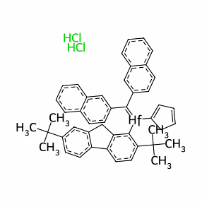 CC(C)(C)c1ccc2c(c1)Cc1c-2ccc(C(C)(C)C)[c]1[Hf]([C]1=CC=CC1)=[C](c1ccc2ccccc2c1)c1ccc2ccccc2c1.Cl.Cl